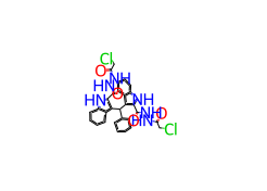 O=C(CCl)NNC(=O)c1[nH]c2ccccc2c1C(c1ccccc1)c1c(C(=O)NNC(=O)CCl)[nH]c2ccccc12